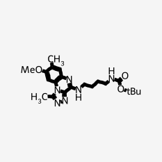 COc1cc2c(cc1C)nc(NCCCCNC(=O)OC(C)(C)C)c1nnc(C)n12